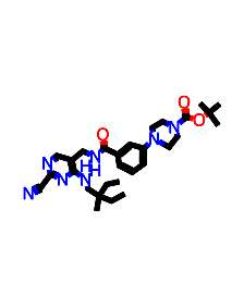 CCC(C)(CC)CNc1nc(C#N)ncc1CNC(=O)c1cccc(N2CCN(C(=O)OC(C)(C)C)CC2)c1